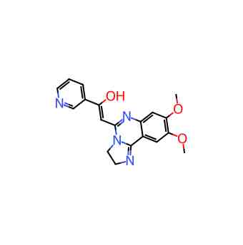 COc1cc2c(cc1OC)C1=NCCN1C(C=C(O)c1cccnc1)=N2